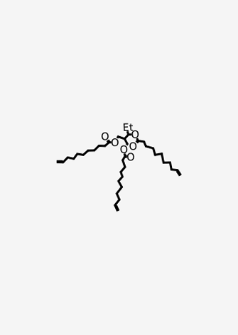 C=CCCCCCCCCC(=O)OCC(COC(=O)CCCCCCCCC=C)C(CC)OC(=O)CCCCCCCCC=C